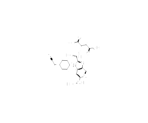 CNc1cc2c(cn1)nc([C@@H](C)O)n2[C@H]1CC[C@H](CC#N)CC1.O=C(O)CCC(=O)O